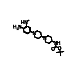 CNc1cc(N2CCC(N3CCC(NC(=O)OC(C)(C)C)CC3)CC2)ccc1N